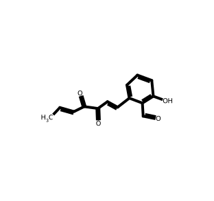 C/C=C/C(=O)C(=O)/C=C/c1cccc(O)c1C=O